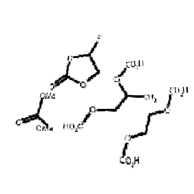 CC(COC(=O)O)OC(=O)O.COC(=O)OC.O=C(O)OCCOC(=O)O.O=C1OCC(F)O1